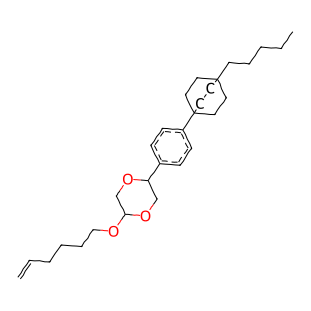 C=CCCCCOC1COC(c2ccc(C34CCC(CCCCC)(CC3)CC4)cc2)CO1